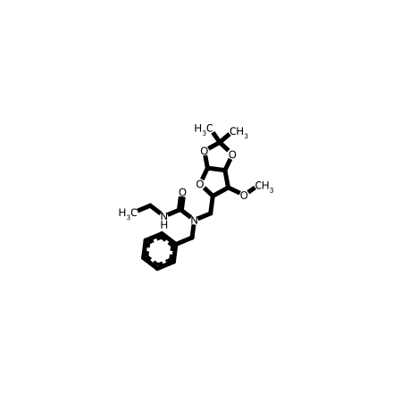 CCNC(=O)N(Cc1ccccc1)CC1OC2OC(C)(C)OC2C1OC